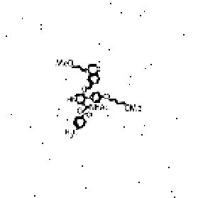 COCCCCOc1ccc([C@@H]2[C@@H](OCc3ccc4c(c3)N(CCCOC)CCO4)CNC[C@@H]2C(NC(C)=O)S(=O)(=O)c2ccc(C)cc2)cc1